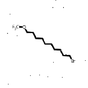 FC(F)(F)OCCCCCCCCCCBr